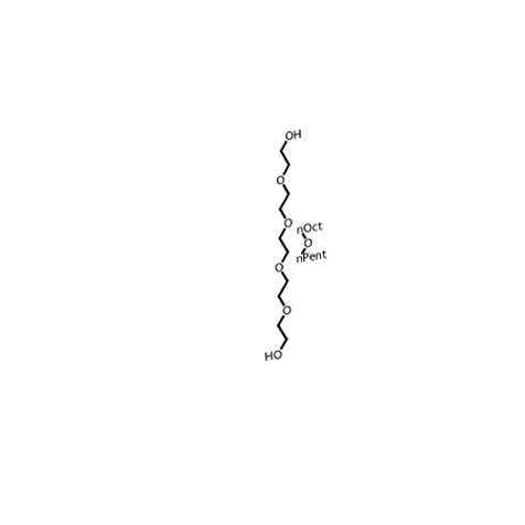 CCCCCCCCOCCCCC.OCCOCCOCCOCCOCCO